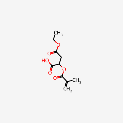 C=C(C)C(=O)OC(CC(=O)OCC)C(=O)O